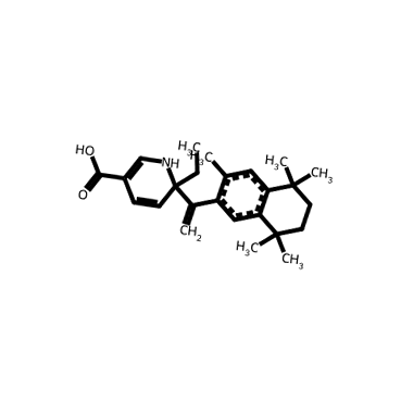 C=C(c1cc2c(cc1C)C(C)(C)CCC2(C)C)C1(CC)C=CC(C(=O)O)=CN1